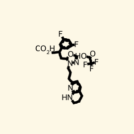 O=C(O)C(F)(F)F.O=C(O)CC(CC1OC=NN1CCCc1ccc2c(n1)NCCC2)c1cc(F)cc(F)c1